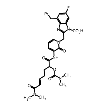 CC(C)Cc1cc(F)cc2c1nc(Cn1cccc(NC(=O)C(CCC=CC(=O)N(C)C)OC(=O)N(C)C)c1=O)n2C(=O)O